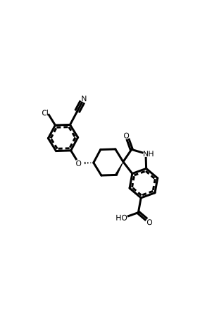 N#Cc1cc(O[C@H]2CC[C@@]3(CC2)C(=O)Nc2ccc(C(=O)O)cc23)ccc1Cl